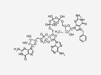 CC[C@H]1[C@@H](O)[C@H](n2c[n+](Cc3ccccc3)c3c(=O)[nH]c(N)nc32)O[C@@H]1COP(=O)(O)OP(=O)(O)OP(=O)(O)OC[C@H]1O[C@@H](n2cnc3c(N)ncnc32)[C@H](OC)[C@@H]1OP(=O)([O-])OC[C@H]1O[C@@H](n2cnc3c(=O)[nH]c(N)nc32)[C@H](O)[C@@H]1O